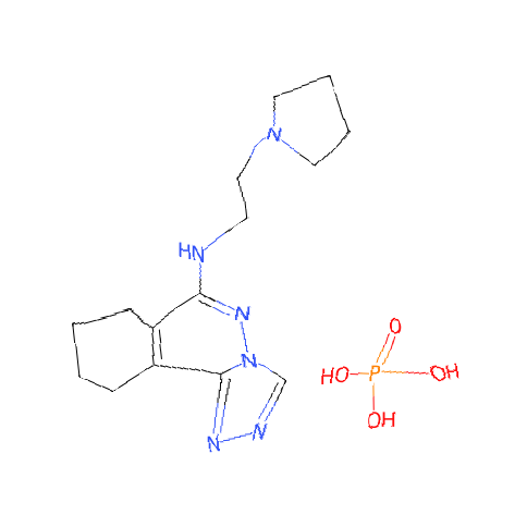 O=P(O)(O)O.c1nnc2c3c(c(NCCN4CCCC4)nn12)CCCC3